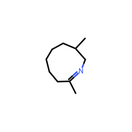 C/C1=N/CC(C)CCCCC1